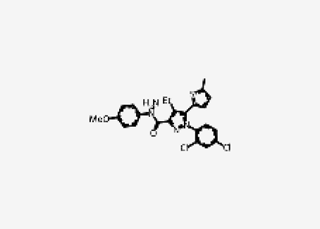 CCc1c(C(=O)N(N)c2ccc(OC)cc2)nn(-c2ccc(Cl)cc2Cl)c1-c1ccc(C)s1